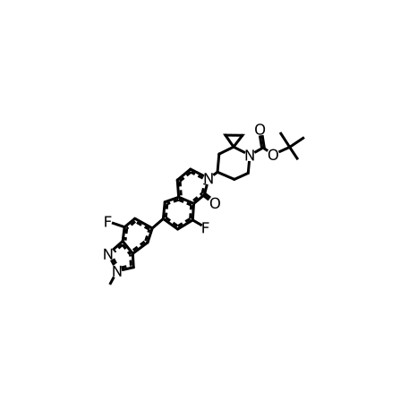 Cn1cc2cc(-c3cc(F)c4c(=O)n(C5CCN(C(=O)OC(C)(C)C)C6(CC6)C5)ccc4c3)cc(F)c2n1